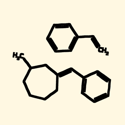 C=Cc1ccccc1.CC1CCCCC(=Cc2ccccc2)C1